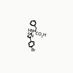 O=C(O)C(Cc1ccccc1)Nc1nc(-c2ccc(Br)cc2)cs1